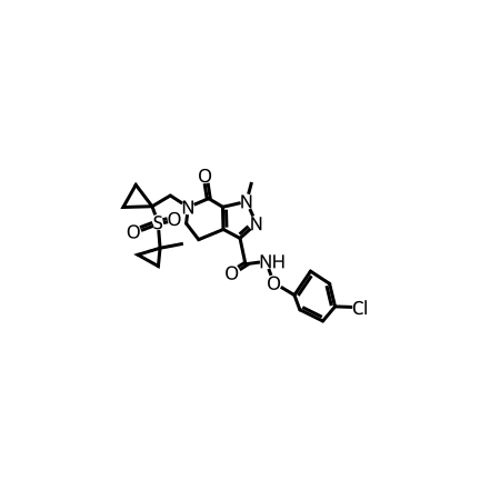 Cn1nc(C(=O)NOc2ccc(Cl)cc2)c2c1C(=O)N(CC1(S(=O)(=O)C3(C)CC3)CC1)CC2